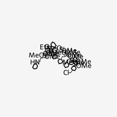 CCO[Si](OCC)(OCC)c1ccccc1Cl.CO[Si](C)(CCc1ccccc1)OC.CO[Si](CCCNc1ccccc1)(OC)OC.CO[Si](CCc1ccccc1)(OC)OC.CO[Si](Cl)(Cc1ccccc1)OC.CO[Si](OC)(OC)c1ccc(CCl)cc1